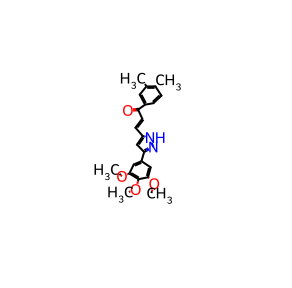 COc1cc(-c2cc(/C=C/C(=O)c3ccc(C)c(C)c3)[nH]n2)cc(OC)c1OC